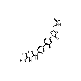 CC(=O)NC[C@H]1CN(c2ccc(-c3ccc(NC(=N)NC(=N)N)cn3)c(F)c2)C(=O)O1